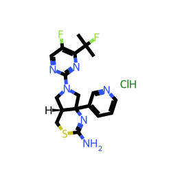 CC(C)(F)c1nc(N2C[C@H]3CSC(N)=NC3(c3cccnc3)C2)ncc1F.Cl